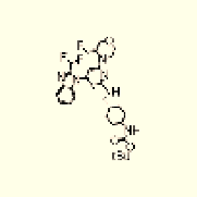 CC(C)(C)OC(=O)N[C@H]1CC[C@H](CNc2nc(N3CCOC[C@@H]3CF)cc(-n3c(C(F)F)nc4ccccc43)n2)CC1